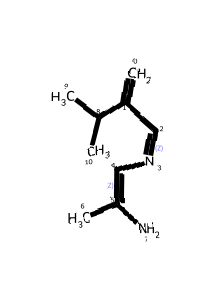 C=C(/C=N\C=C(\C)N)C(C)C